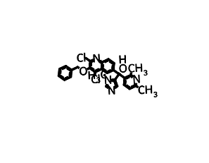 Cc1ccc(C(O)(c2ccc3nc(Cl)c(OCc4ccccc4)c(Cl)c3c2)c2cncn2C)c(C)n1